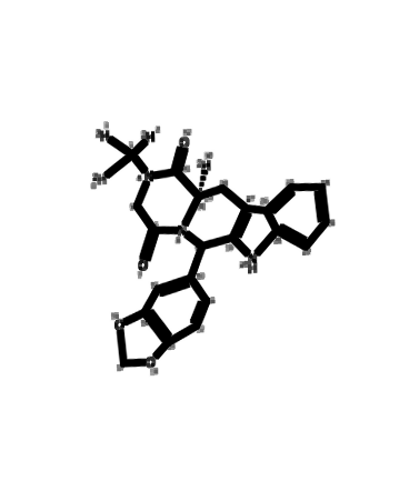 [2H]C([2H])([2H])N1CC(=O)N2C(c3ccc4c(c3)OCO4)c3[nH]c4ccccc4c3C[C@]2([2H])C1=O